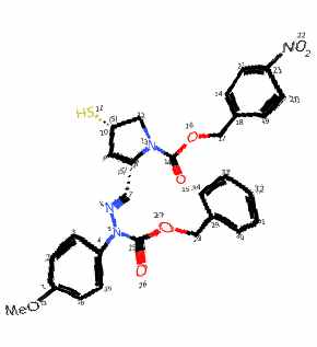 COc1ccc(N(N=C[C@@H]2C[C@H](S)CN2C(=O)OCc2ccc([N+](=O)[O-])cc2)C(=O)OCc2ccccc2)cc1